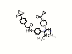 C=N/C(=C(\N=C/C)N1CCN(C(=O)C2CC2)CC1)c1ccc(NC(=O)Cc2ccc(C(F)(F)CC)cc2)cc1